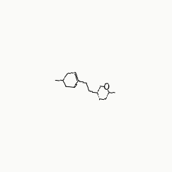 CC1CC=C(CCC2CCC(C)OC2)CC1